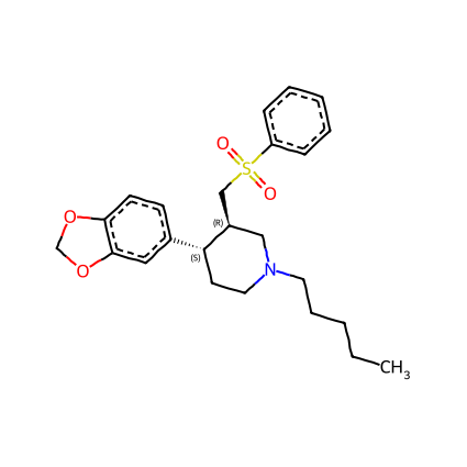 CCCCCN1CC[C@H](c2ccc3c(c2)OCO3)[C@@H](CS(=O)(=O)c2ccccc2)C1